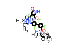 CC1CN(c2cc(F)c(-c3cc(C(=O)NC(C)(C)CC(C)(C)C)c(F)cc3F)cc2NC(=O)c2c[nH]c(=O)cc2C(F)(F)F)CC(C)N1C